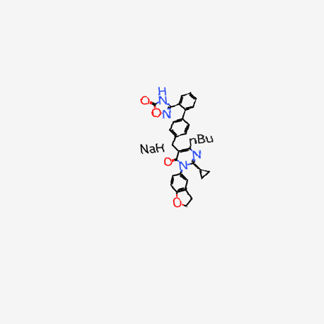 CCCCc1nc(C2CC2)n(-c2ccc3c(c2)CCO3)c(=O)c1Cc1ccc(-c2ccccc2-c2noc(=O)[nH]2)cc1.[NaH]